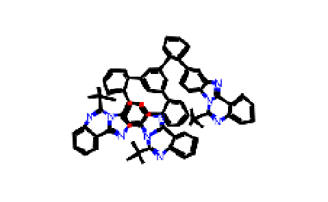 CC(C)(C)c1nc2ccccc2c2nc3cc(-c4ccccc4-c4cc(-c5ccccc5-c5ccc6c(c5)nc5c7ccccc7nc(C(C)(C)C)n65)cc(-c5ccccc5-c5ccc6c(c5)nc5c7ccccc7nc(C(C)(C)C)n65)c4)ccc3n12